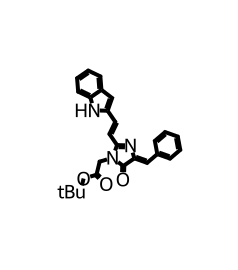 CC(C)(C)OC(=O)CN1C(=O)/C(=C/c2ccccc2)N=C1/C=C/c1cc2ccccc2[nH]1